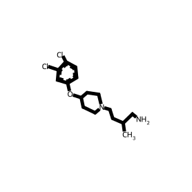 CC(CN)CCN1CCC(Oc2ccc(Cl)c(Cl)c2)CC1